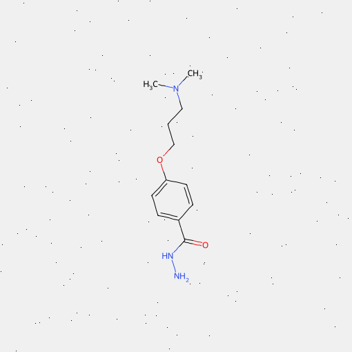 CN(C)CCCOc1ccc(C(=O)NN)cc1